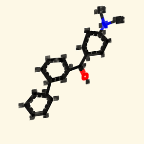 CCN(CC)c1ccc(C(=O)c2cccc(-c3ccccc3)c2)cc1